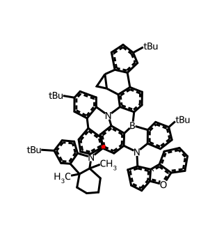 CC(C)(C)c1ccc2c(c1)B1c3ccc4c(c3N(c3ccc(C(C)(C)C)cc3-c3ccccc3)c3cc(N5c6ccc(C(C)(C)C)cc6C6(C)CCCCC56C)cc(c31)N2c1cccc2oc3ccccc3c12)C1CC1c1ccc(C(C)(C)C)cc1-4